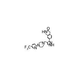 O=C1Cc2ccc(-c3n[nH]cc3CN3CCCN(c4ccc(C(F)(F)F)cn4)CC3)cc2CN1